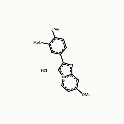 COc1ccn2cc(-c3ccc(OC)c(OC)c3)nc2c1.Cl